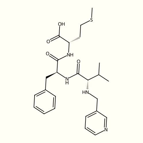 CSCC[C@H](NC(=O)[C@H](Cc1ccccc1)NC(=O)[C@@H](NCc1cccnc1)C(C)C)C(=O)O